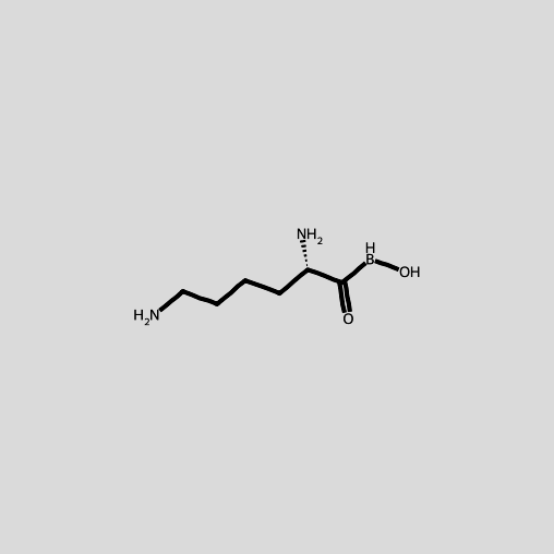 NCCCC[C@H](N)C(=O)BO